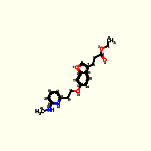 CCOC(=O)CCc1coc2cc(OCCc3cccc(NC)n3)ccc12